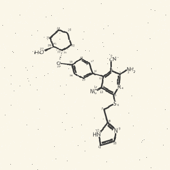 N#Cc1c(N)nc(SCc2ncc[nH]2)c(C#N)c1-c1ccc(O[C@H]2CCCC[C@@H]2O)cc1